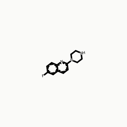 Fc1ccc2nc(N3CCNCC3)ccc2c1